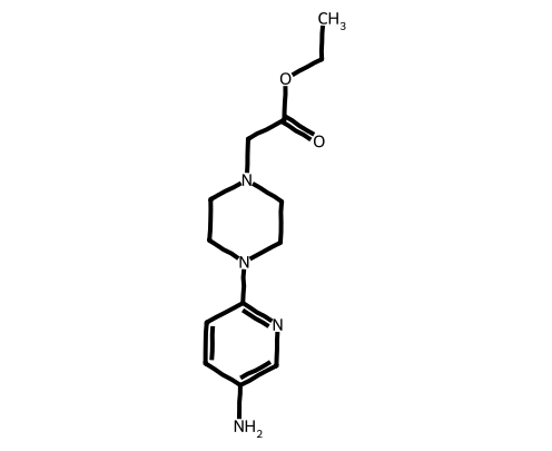 CCOC(=O)CN1CCN(c2ccc(N)cn2)CC1